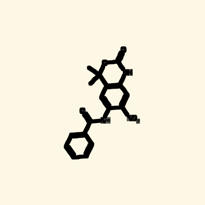 CC1(C)OC(=O)Nc2cc([N+](=O)[O-])c(NC(=O)c3ccccc3)cc21